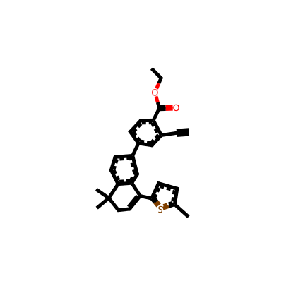 C#Cc1cc(-c2ccc3c(c2)C(c2ccc(C)s2)=CCC3(C)C)ccc1C(=O)OCC